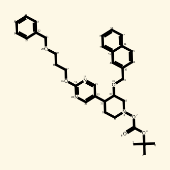 CC(C)(C)OC(=O)ON1CCC(c2cnc(OCCCOCc3ccccc3)nc2)C(OCc2ccc3ccccc3c2)C1